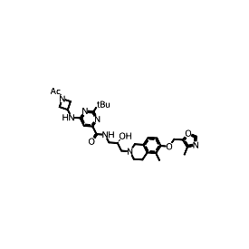 CC(=O)N1CC(Nc2cc(C(=O)NC[C@H](O)CN3CCc4c(ccc(OCc5ocnc5C)c4C)C3)nc(C(C)(C)C)n2)C1